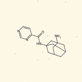 NC12CC3CC(C1)CC(NC(=O)c1ccncn1)(C3)C2